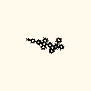 N#Cc1ccc(-c2ccc(-c3c4ccccc4c(-c4ccc5c(c4)c4ccccc4c4cc6c7ccccc7n(-c7ccccc7)c6cc54)c4ccccc34)cc2)cc1